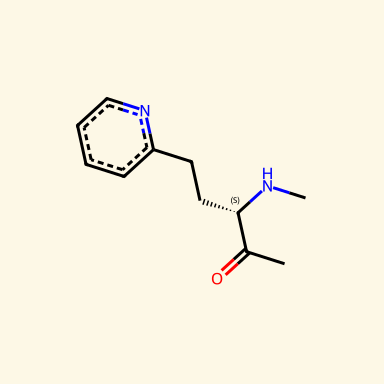 CN[C@@H](CCc1ccccn1)C(C)=O